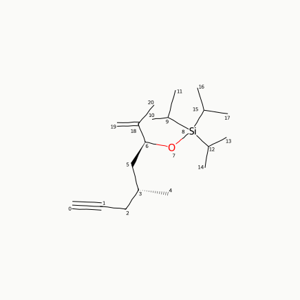 C#CC[C@@H](C)C[C@H](O[Si](C(C)C)(C(C)C)C(C)C)C(=C)C